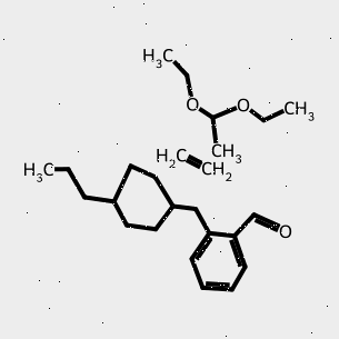 C=C.CCCC1CCC(Cc2ccccc2C=O)CC1.CCOC(C)OCC